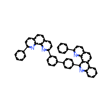 c1ccc(-c2ccc3ccc4ccc(-c5cccc(-c6ccc(-c7nc8ccccc8c8ccc9ccc(-c%10ccccc%10)nc9c78)cc6)c5)nc4c3n2)cc1